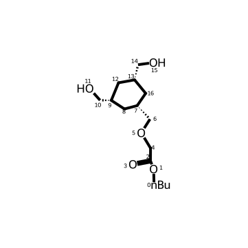 CCCCOC(=O)COC[C@@H]1C[C@H](CO)C[C@H](CO)C1